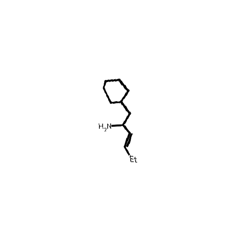 CCC=CC(N)CC1CCCCC1